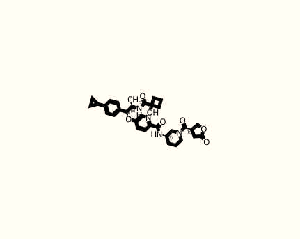 C[C@H](NC(=O)C1(O)CCC1)[C@H](Oc1ccc(C(=O)N[C@H]2CCCN(C(=O)[C@H]3COC(=O)C3)C2)nc1)c1ccc(C2CC2)cc1